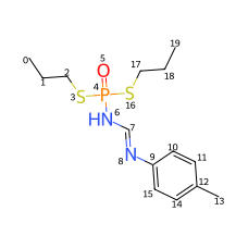 CCCSP(=O)(NC=Nc1ccc(C)cc1)SCCC